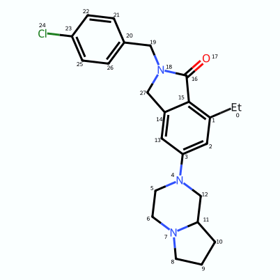 CCc1cc(N2CCN3CCCC3C2)cc2c1C(=O)N(Cc1ccc(Cl)cc1)C2